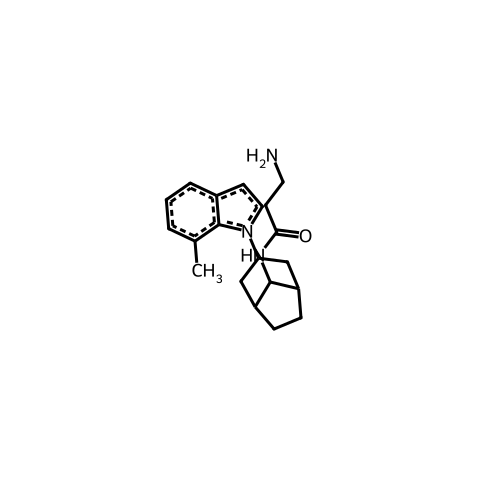 Cc1cccc2ccn(C3CC4CCC(C3)C4NC(=O)CCN)c12